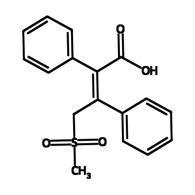 CS(=O)(=O)CC(=C(C(=O)O)c1ccccc1)c1ccccc1